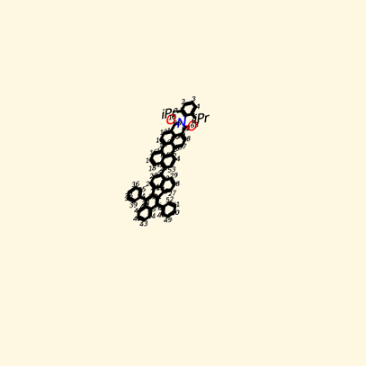 CC(C)c1cccc(C(C)C)c1N1C(=O)c2ccc3c4cccc5c(-c6ccc7c8c(cccc68)-c6c-7c(-c7ccccc7)c7ccccc7c6-c6ccccc6)ccc(c6ccc(c2c36)C1=O)c54